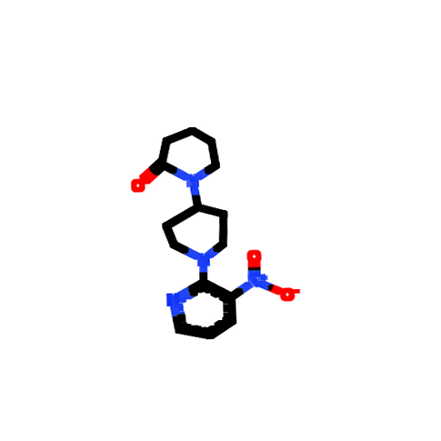 O=C1CCCCN1C1CCN(c2ncccc2[N+](=O)[O-])CC1